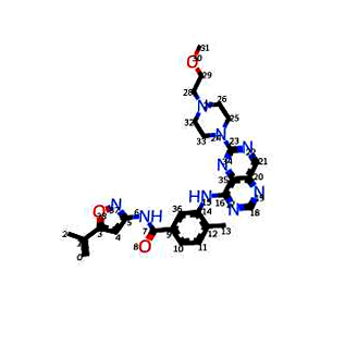 C=C(C)c1cc(NC(=O)c2ccc(C)c(Nc3ncnc4cnc(N5CCN(CCOC)CC5)nc34)c2)no1